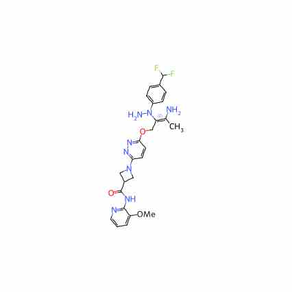 COc1cccnc1NC(=O)C1CN(c2ccc(OC/C(=C(\C)N)N(N)c3ccc(C(F)F)cc3)nn2)C1